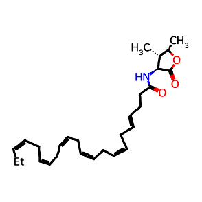 CC/C=C\C/C=C\C/C=C\C/C=C\C/C=C\C/C=C/CCC(=O)N[C@@H]1C(=O)O[C@H](C)[C@H]1C